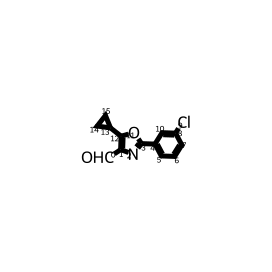 O=Cc1nc(-c2cccc(Cl)c2)oc1C1CC1